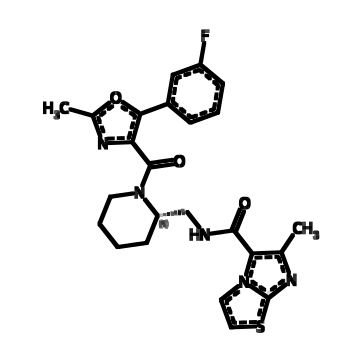 Cc1nc(C(=O)N2CCCC[C@H]2CNC(=O)c2c(C)nc3sccn23)c(-c2cccc(F)c2)o1